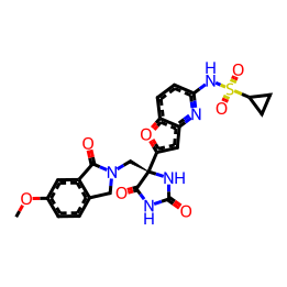 COc1ccc2c(c1)C(=O)N(C[C@@]1(c3cc4nc(NS(=O)(=O)C5CC5)ccc4o3)NC(=O)NC1=O)C2